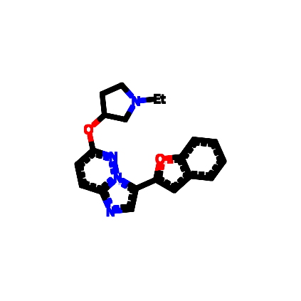 CCN1CCC(Oc2ccc3ncc(-c4cc5ccccc5o4)n3n2)C1